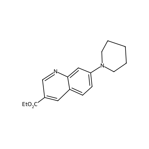 CCOC(=O)c1cnc2cc(N3CCCCC3)ccc2c1